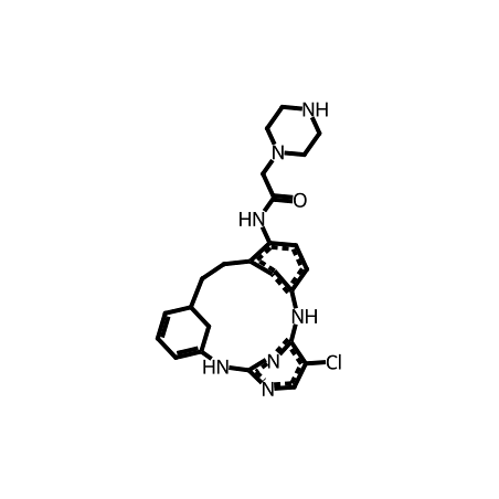 O=C(CN1CCNCC1)Nc1ccc2cc1CCC1C=CC=C(C1)Nc1ncc(Cl)c(n1)N2